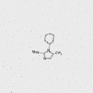 CNc1ncc(C)n1-c1ccccc1